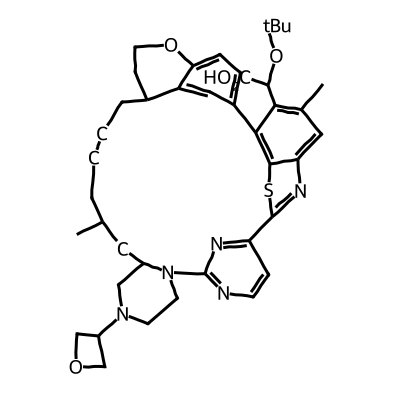 Cc1cc2nc3sc2c(c1C(OC(C)(C)C)C(=O)O)-c1ccc2c(c1)C(CCCCC(C)CC1CN(C4COC4)CCN1c1nccc-3n1)CCO2